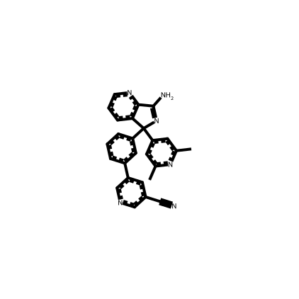 Cc1cc(C2(c3cccc(-c4cncc(C#N)c4)c3)N=C(N)c3ncccc32)cc(C)n1